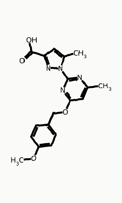 COc1ccc(COc2cc(C)nc(-n3nc(C(=O)O)cc3C)n2)cc1